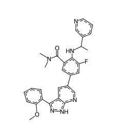 COc1ccccc1-c1n[nH]c2ncc(-c3cc(F)c(NC(C)c4cccnc4)c(C(=O)N(C)C)c3)cc12